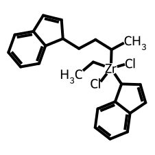 C[CH2][Zr]([Cl])([Cl])([CH](C)CCC1C=Cc2ccccc21)[CH]1C=Cc2ccccc21